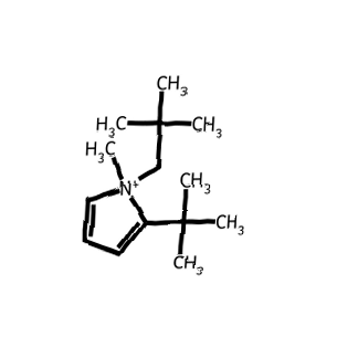 CC(C)(C)C[N+]1(C)C=CC=C1C(C)(C)C